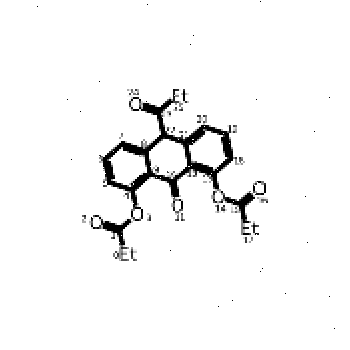 CCC(=O)Oc1cccc2c1C(=O)c1c(OC(=O)CC)cccc1C2C(=O)CC